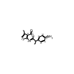 Cc1csc2nc(C(C)c3ccc(N)cc3)oc(=O)c12